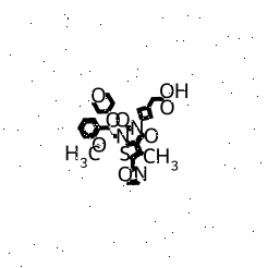 COc1ccccc1[C@@H](Cn1c(=O)n(C2CC(CC(=O)O)C2)c(=O)c2c(C)c(-c3ncco3)sc21)OC1CCOCC1